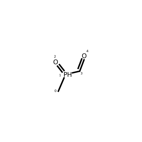 C[PH](=O)C=O